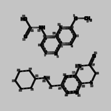 COc1ccc2nccc(NC(=O)O)c2n1.O=C1CSc2ncc(CNC3CCCCC3)cc2N1